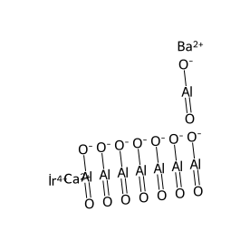 [Ba+2].[Ca+2].[Ir+4].[O]=[Al][O-].[O]=[Al][O-].[O]=[Al][O-].[O]=[Al][O-].[O]=[Al][O-].[O]=[Al][O-].[O]=[Al][O-].[O]=[Al][O-]